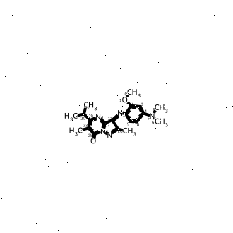 COc1cc(N(C)C)ccc1N=C1C(C)=Nn2c1nc(C(C)C)c(C)c2=O